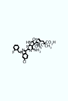 CC(C)(Cc1csc([C@@]2(C)C(=O)Nc3nc(-c4nn(Cc5ccccc5F)c5cc(Cl)ccc45)nc(N)c32)n1)C(=O)O